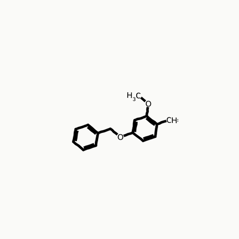 [CH]c1ccc(OCc2ccccc2)cc1OC